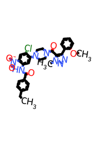 CCc1ccc(C(=O)Nc2cc(N3CCN(C(=O)c4c(-c5ccccc5OC)nnn4C)CC3)c(Cl)cc2[N+](=O)[O-])cc1